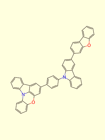 c1ccc2c(c1)Oc1cc(-c3ccc(-n4c5ccccc5c5cc(-c6ccc7c(c6)oc6ccccc67)ccc54)cc3)cc3c4ccccc4n-2c13